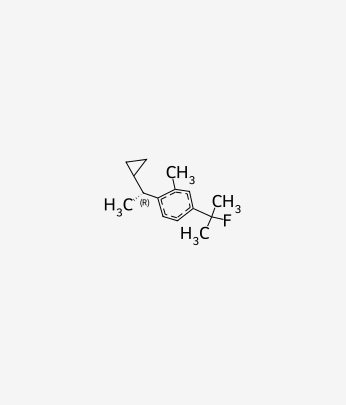 Cc1cc(C(C)(C)F)ccc1[C@H](C)C1CC1